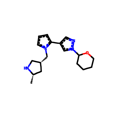 C[C@H]1C[C@@H](Cn2cccc2-c2cnn(C3CCCCO3)c2)CN1